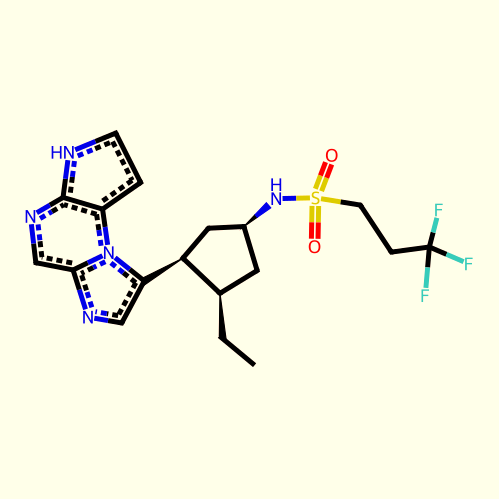 CC[C@@H]1C[C@H](NS(=O)(=O)CCC(F)(F)F)C[C@@H]1c1cnc2cnc3[nH]ccc3n12